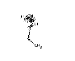 CCCCCCCC/C=C\CCCCCCCC(=O)OC[C@@H](O)COP(=O)(OC)OCC[N+](C)(C)C